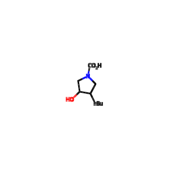 CCCCC1CN(C(=O)O)CC1O